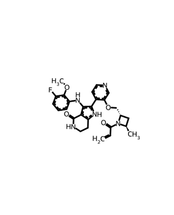 C=CC(=O)N1[C@H](COc2cnccc2-c2[nH]c3c(c2Nc2cccc(F)c2OC)C(=O)NCC3)C[C@H]1C